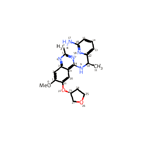 COc1cc2nc(C)nc(N[C@H](C)c3cccc(N)n3)c2cc1O[C@H]1CCOC1